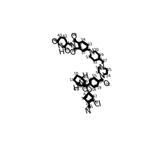 N#Cc1ccc(O[C@H]2C[C@H]3CC[C@@H](C2)N3C(=O)c2ccc(C(=O)N3CCN(CC4CCN(c5ccc6c(c5)C(=O)N(C5CCC(=O)NC5=O)C6=O)CC4)CC3)cc2)cc1Cl